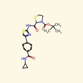 CC(C)(C)OC(=O)N1CCSC1C(=O)Nc1nc(-c2ccc(C(=O)NC3CC3)cc2)cs1